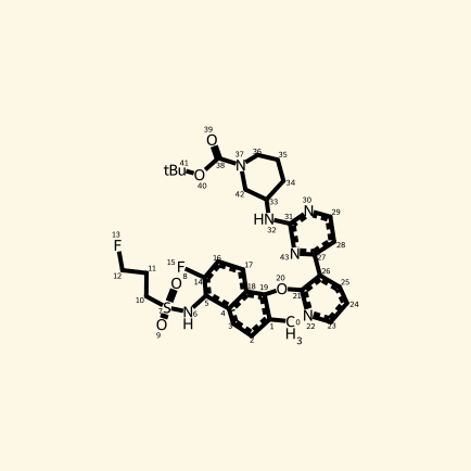 Cc1ccc2c(NS(=O)(=O)CCCF)c(F)ccc2c1Oc1ncccc1-c1ccnc(NC2CCCN(C(=O)OC(C)(C)C)C2)n1